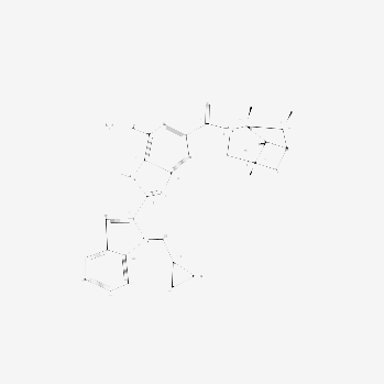 COc1cc(C(=O)N2C[C@H]3CC4[C@H]3[C@H]2[C@H]4O)cc2nc(-c3cc4ccccc4n3CC3CC3)n(C)c12